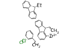 C=CC1c2ccccc2-c2ccc[c]([Zr+2])c21.C=Cc1ccccc1.CCC1c2ccccc2-c2ccccc21.[Cl-].[Cl-]